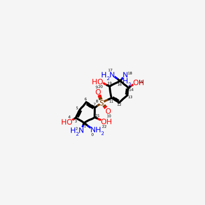 NC1(N)C(O)=CC=C(S(=O)(=O)C2=CC=C(O)C(N)(N)C2O)C1O